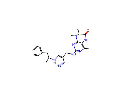 Cc1nc(NC/C(C=N)=C/N[C@@H](C)Cc2ccccc2)nc2c1NC(=O)[C@H](C)N2C